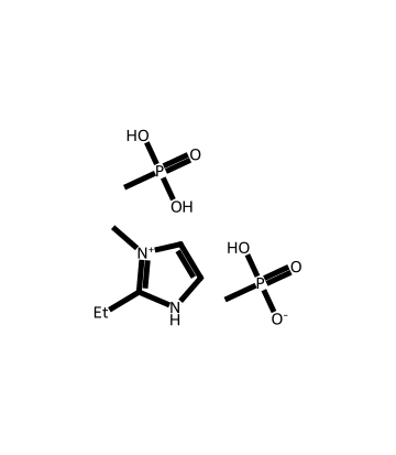 CCc1[nH]cc[n+]1C.CP(=O)(O)O.CP(=O)([O-])O